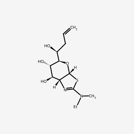 C=CC[C@H](O)[C@H]1O[C@@H]2SC(N(C)CC)=N[C@@H]2[C@@H](O)[C@@H]1O